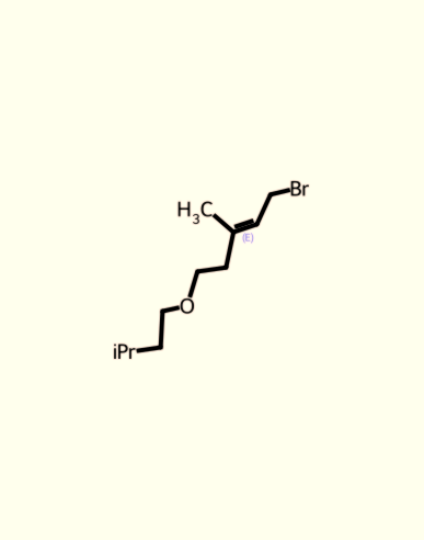 C/C(=C\CBr)CCOCCC(C)C